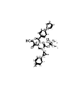 CC(C)(C)OC(=O)N(C[C@H](NC(=O)c1ccc(-n2cccn2)cc1)C(=O)CO)[C@@H]1C[C@H]1c1ccc(F)cc1